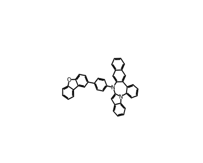 c1ccc2c(c1)-c1cc3ccccc3cc1N(c1ccc(-c3ccc4oc5ccccc5c4c3)cc1)c1cc3ccccc3n1-2